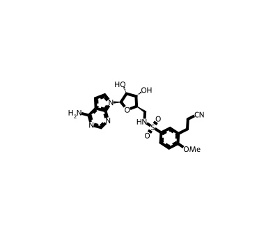 COc1ccc(S(=O)(=O)NC[C@H]2O[C@@H](n3ccc4c(N)ncnc43)[C@H](O)[C@@H]2O)cc1CCC#N